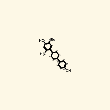 Cc1cc(O)c(C(C)(C)C)cc1C1CCC(c2ccc(O)cc2)CC1